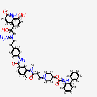 Cc1ccc(C(=O)Nc2ccc(CCN(N)C[C@H](O)c3ccc(O)c4[nH]c(=O)ccc34)cc2)cc1N(C)C(=O)CCN1CCC(OC(=O)Nc2ccccc2-c2ccccc2)CC1